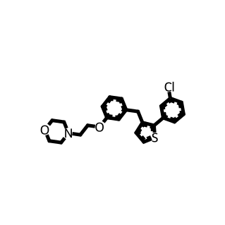 Clc1cccc(-c2sccc2Cc2cccc(OCCN3CCOCC3)c2)c1